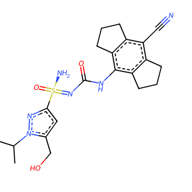 CC(C)n1nc([S@](N)(=O)=NC(=O)Nc2c3c(c(C#N)c4c2CCC4)CCC3)cc1CO